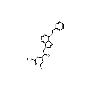 CCCN(CC(=O)O)C(=O)Cn1cnc2c(OCc3ccccc3)ncnc21